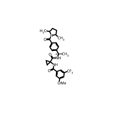 COc1cc(C(=O)NC2(C(=O)N[C@H](C)c3ccc(C(=O)N4C(C)CCC4C)cc3)CC2)cc(C(F)(F)F)c1